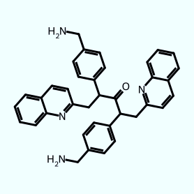 NCc1ccc(C(Cc2ccc3ccccc3n2)C(=O)C(Cc2ccc3ccccc3n2)c2ccc(CN)cc2)cc1